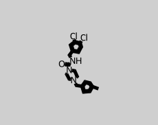 Cc1ccc(CN2CCN(C(=O)NCc3ccc(Cl)c(Cl)c3)CC2)cc1